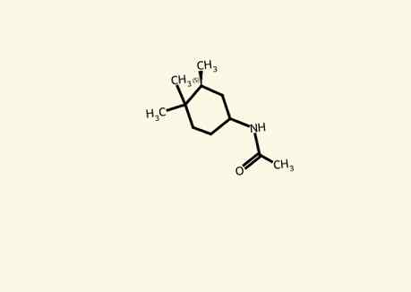 CC(=O)NC1CCC(C)(C)[C@@H](C)C1